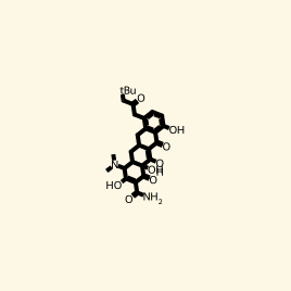 CN(C)C1C(O)=C(C(N)=O)C(=O)C2(O)C(O)=C3C(=O)c4c(O)ccc(CC(=O)CC(C)(C)C)c4CC3CC12